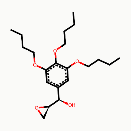 CCCCOc1cc([C@@H](O)[C@H]2CO2)cc(OCCCC)c1OCCCC